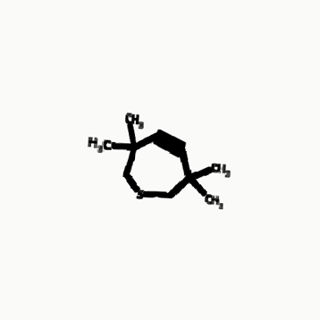 CC1(C)C#CC(C)(C)CSC1